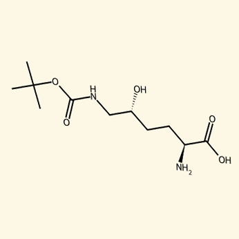 CC(C)(C)OC(=O)NC[C@H](O)CC[C@H](N)C(=O)O